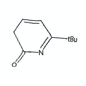 CC(C)(C)C1=NC(=O)CC=C1